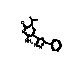 CC(C)n1cc(-c2cn(-c3ccccc3)nn2)c(N)nc1=O